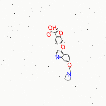 Cc1oc2cc(Oc3ccnc4cc(OCCN5CCCC5)ccc34)ccc2c1C(=O)O